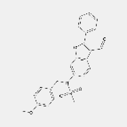 COc1ccc(CN(c2ccc3c(C=O)c(-c4ccccc4)oc3c2)S(C)(=O)=O)cc1